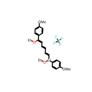 CCOC(=CC=CC=C[C+](OCC)c1ccc(OC)cc1)c1ccc(OC)cc1.F[B-](F)(F)F